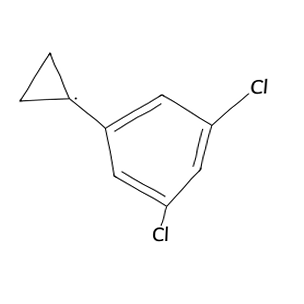 Clc1cc(Cl)cc([C]2CC2)c1